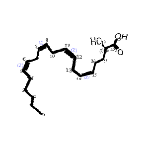 CCCCC/C=C\C/C=C\C/C=C\C/C=C\CC[C@@H](O)C(=O)O